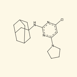 Clc1cc(N2CCCC2)nc(NC23CC4CC(CC(C4)C2)C3)n1